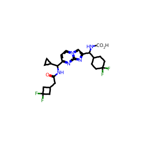 O=C(O)NC(c1cn2ccc(C(NC(=O)CC3CC(F)(F)C3)C3CC3)nc2n1)C1CCC(F)(F)CC1